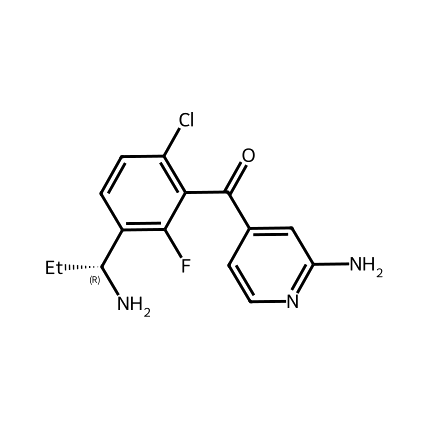 CC[C@@H](N)c1ccc(Cl)c(C(=O)c2ccnc(N)c2)c1F